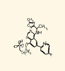 CCS(=O)(=O)O.COc1cc(-c2ccc(F)cn2)cc2c(NC(C)c3noc(C)n3)ncnc12